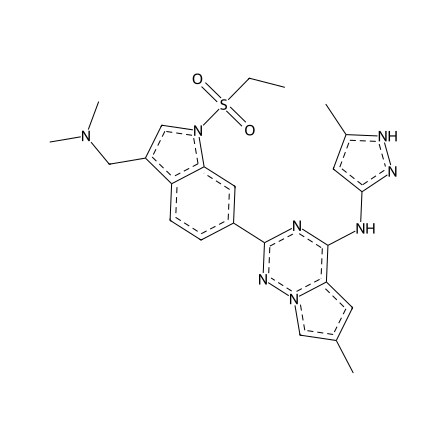 CCS(=O)(=O)n1cc(CN(C)C)c2ccc(-c3nc(Nc4cc(C)[nH]n4)c4cc(C)cn4n3)cc21